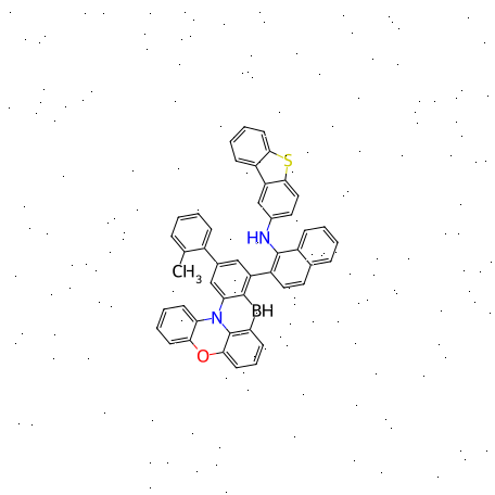 Cc1ccccc1-c1cc(-c2ccc3ccccc3c2Nc2ccc3sc4ccccc4c3c2)c2c(c1)N1c3ccccc3Oc3cccc(c31)B2